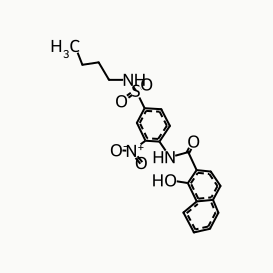 CCCCNS(=O)(=O)c1ccc(NC(=O)c2ccc3ccccc3c2O)c([N+](=O)[O-])c1